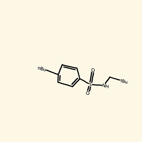 CCCCc1ccc(S(=O)(=O)NCC(C)(C)C)cc1